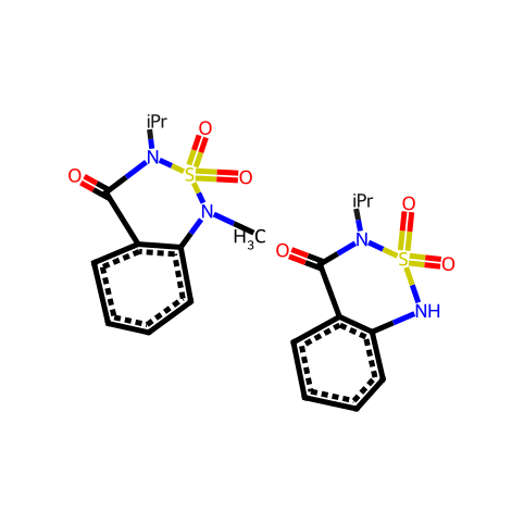 CC(C)N1C(=O)c2ccccc2N(C)S1(=O)=O.CC(C)N1C(=O)c2ccccc2NS1(=O)=O